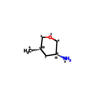 C[C@@H]1COC[C@H](N)C1